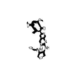 COc1cc(OC)c(Cl)c(-c2cc3cnc(NC4COCC4NC=O)nc3cn2)c1C